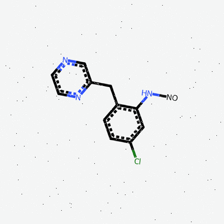 O=NNc1cc(Cl)ccc1Cc1cnccn1